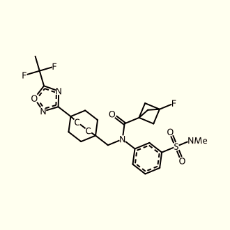 CNS(=O)(=O)c1cccc(N(CC23CCC(c4noc(C(C)(F)F)n4)(CC2)CC3)C(=O)C23CC(F)(C2)C3)c1